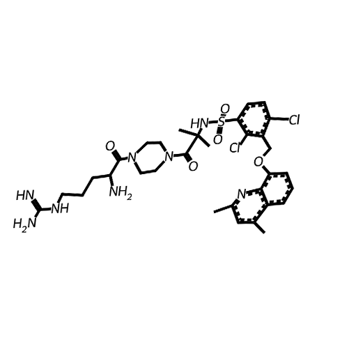 Cc1cc(C)c2cccc(OCc3c(Cl)ccc(S(=O)(=O)NC(C)(C)C(=O)N4CCN(C(=O)C(N)CCCNC(=N)N)CC4)c3Cl)c2n1